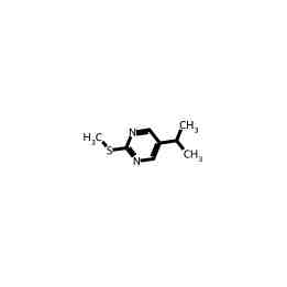 CSc1ncc(C(C)C)cn1